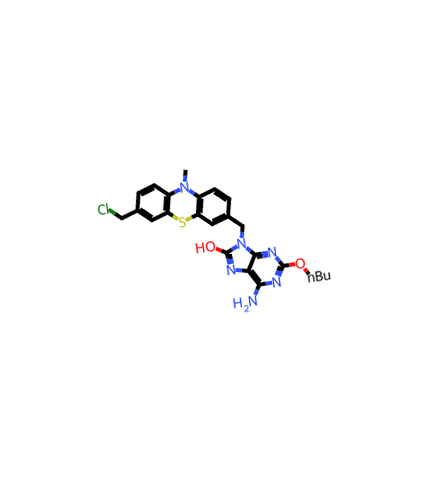 CCCCOc1nc(N)c2nc(O)n(Cc3ccc4c(c3)Sc3cc(CCl)ccc3N4C)c2n1